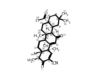 C[C@@H]1C(=O)C(C#N)=C[C@]2(C)C3=CC(=O)[C@@H]4[C@@H]5CC(C)(C)CC[C@]5(C(=O)Cl)CC[C@@]4(C)[C@]3(C)CC[C@@H]12